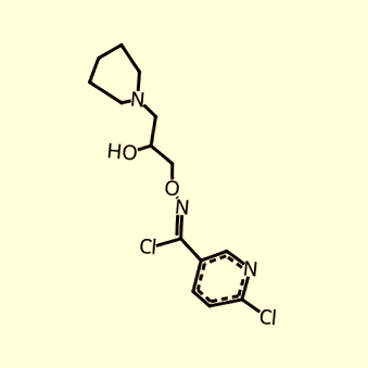 OC(CON=C(Cl)c1ccc(Cl)nc1)CN1CCCCC1